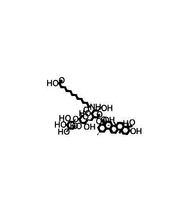 C[C@@H]1CCC2(C(=O)O[C@@H]3O[C@H](CO)C(NC(=O)CCCCCCCCCCC(=O)O)C(O)C3C[C@@H]3O[C@H](C)C(O[C@@H]4OC[C@@H](O)C(O)C4O)C(O)C3O)C(C1)C1=CCC3C4(C)CCC(O)C(C)(C=O)[C@@H]4CC[C@@]3(C)[C@]1(C)C[C@H]2O